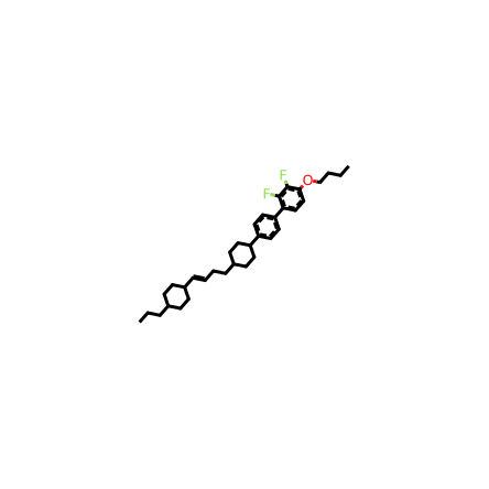 CCCCOc1ccc(-c2ccc(C3CCC(CC/C=C/C4CCC(CCC)CC4)CC3)cc2)c(F)c1F